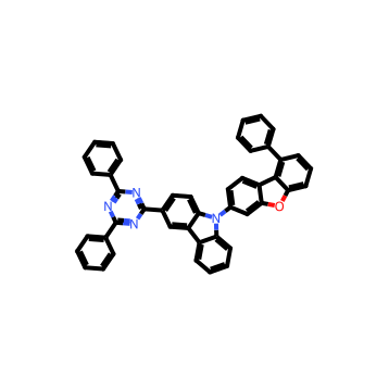 c1ccc(-c2nc(-c3ccccc3)nc(-c3ccc4c(c3)c3ccccc3n4-c3ccc4c(c3)oc3cccc(-c5ccccc5)c34)n2)cc1